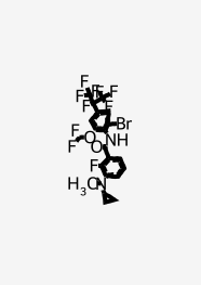 CN(c1cccc(C(=O)Nc2c(Br)cc(C(F)(C(F)(F)F)C(F)(F)F)cc2OC(F)F)c1F)C1CC1